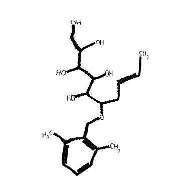 CC=CCC(OCc1c(C)cccc1C)C(O)C(O)C(O)C(O)CO